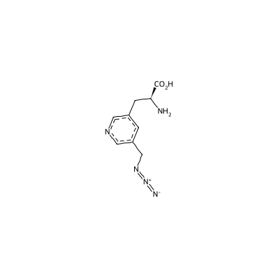 [N-]=[N+]=NCc1cncc(C[C@H](N)C(=O)O)c1